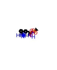 CCCCc1noc(C(=O)NS(=O)(=O)C2CC2)c1Cc1ccc(-c2ccccc2-c2nnn[nH]2)cc1